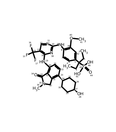 CCC(CC)(c1ccc(Nc2ncc(C(F)(F)F)c(Nc3ccc([C@H]4CC[C@@H](O)CC4)c4c3C(=O)N(C)C4)n2)c(OC)c1)P(=O)(O)O